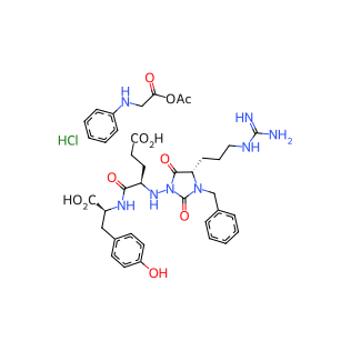 CC(=O)OC(=O)CNc1ccccc1.Cl.N=C(N)NCCC[C@H]1C(=O)N(N[C@H](CCC(=O)O)C(=O)N[C@@H](Cc2ccc(O)cc2)C(=O)O)C(=O)N1Cc1ccccc1